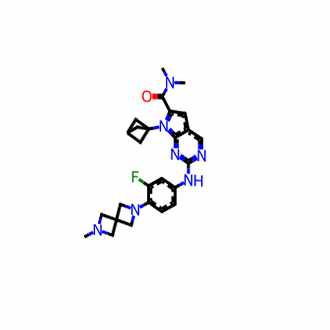 CN1CC2(C1)CN(c1ccc(Nc3ncc4cc(C(=O)N(C)C)n(C56CC(C5)C6)c4n3)cc1F)C2